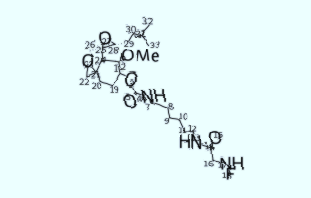 COC1C(OC(=O)NCCCCCCNC(=O)CNF)CCC2(CO2)C1[C@@]1(C)O[C@@H]1CC=C(C)C